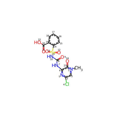 Cn1cc(Cl)nc(NC(=O)NS(=O)(=O)c2ccccc2C(=O)O)c1=O